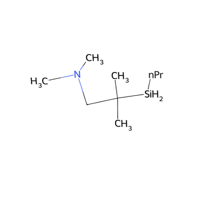 CCC[SiH2]C(C)(C)CN(C)C